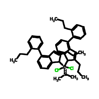 CCCC1=Cc2c(-c3ccccc3CCC)cccc2[CH]1[Zr]([Cl])([Cl])([CH]1C(CCC)=Cc2c(-c3ccccc3CCC)cccc21)[SiH](C)C